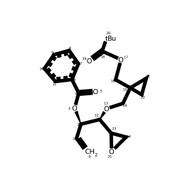 C=C[C@@H](OC(=O)c1ccccc1)[C@@H](OCC1(COC(=O)C(C)(C)C)CC1)C1CO1